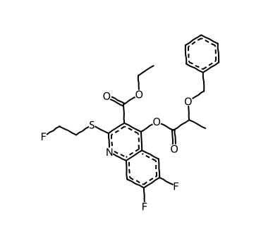 CCOC(=O)c1c(SCCF)nc2cc(F)c(F)cc2c1OC(=O)C(C)OCc1ccccc1